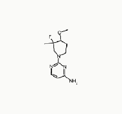 COC1CCN(c2nccc(N)n2)CC1(C)F